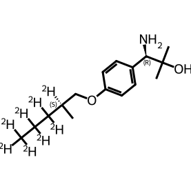 [2H]C([2H])([2H])C([2H])([2H])C([2H])([2H])[C@]([2H])(C)COc1ccc([C@@H](N)C(C)(C)O)cc1